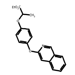 CCOC(=O)C(C)Oc1ccc(Oc2cc3ccccc3cn2)cc1